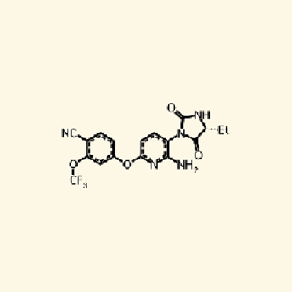 CC[C@H]1NC(=O)N(c2ccc(Oc3ccc(C#N)c(OC(F)(F)F)c3)nc2N)C1=O